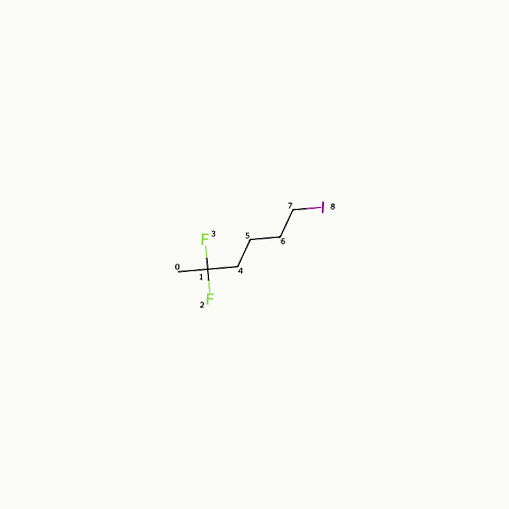 CC(F)(F)CCCCI